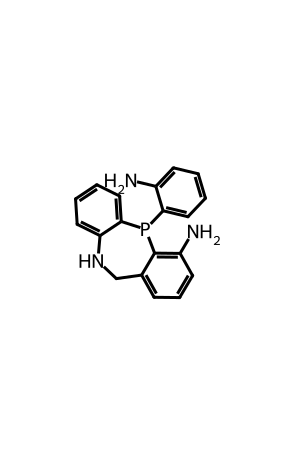 Nc1ccccc1P1c2ccccc2NCc2cccc(N)c21